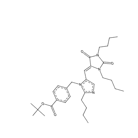 CCCCc1ncc(/C=C2/C(=O)N(CCCC)C(=O)N2CCCC)n1Cc1ccc(C(=O)OC(C)(C)C)cc1